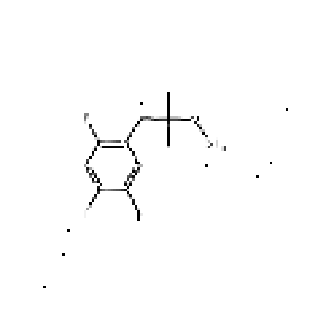 CC(C)(Cc1cc(F)c(F)cc1F)O[SiH3]